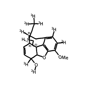 [2H]OC1([2H])C=C[C@@H]2[C@@]34CCN(C([2H])([2H])[2H])[C@]2([2H])Cc2c([2H])c([2H])c(OC)c(c23)OC14